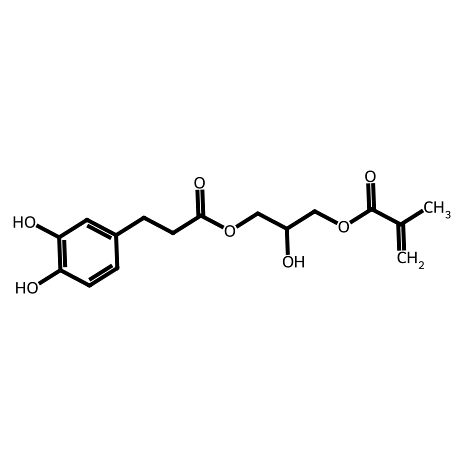 C=C(C)C(=O)OCC(O)COC(=O)CCc1ccc(O)c(O)c1